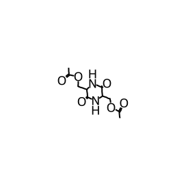 CC(=O)OCC1NC(=O)C(COC(C)=O)NC1=O